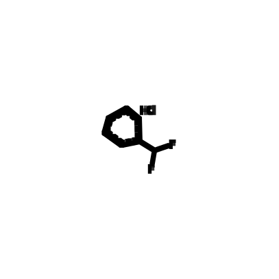 Cl.FC(F)c1ccccc1